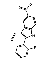 O=Cc1c(-c2ccccc2F)[nH]c2ccc([N+](=O)[O-])cc12